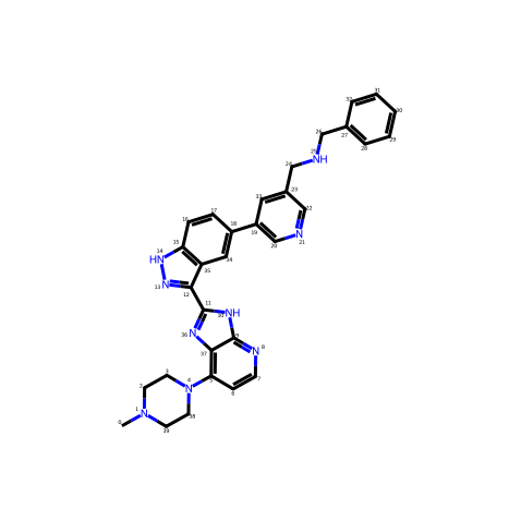 CN1CCN(c2ccnc3[nH]c(-c4n[nH]c5ccc(-c6cncc(CNCc7ccccc7)c6)cc45)nc23)CC1